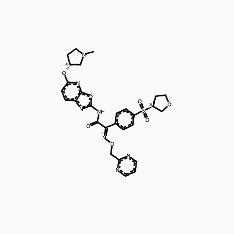 CN1CC[C@@H](Oc2ccc3nc(NC(=O)/C(=N/OCc4ncccn4)c4ccc(S(=O)(=O)[C@H]5CCOC5)cc4)sc3n2)C1